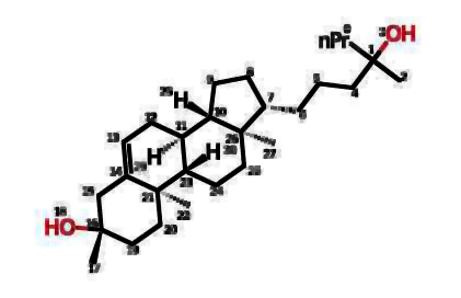 CCCC(C)(O)CCC[C@H]1CC[C@H]2[C@@H]3CC=C4C[C@@](C)(O)CC[C@]4(C)[C@H]3CC[C@]12C